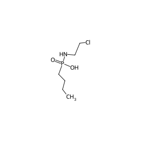 CCCCP(=O)(O)NCCCl